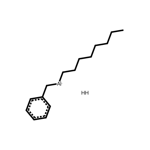 CCCCCCC[CH2][Al][CH2]c1ccccc1.[HH]